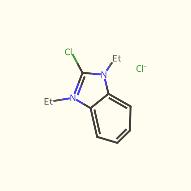 CCn1c(Cl)[n+](CC)c2ccccc21.[Cl-]